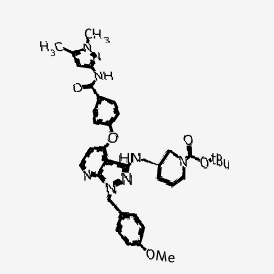 COc1ccc(Cn2nc(N[C@@H]3CCCN(C(=O)OC(C)(C)C)C3)c3c(Oc4ccc(C(=O)Nc5cc(C)n(C)n5)cc4)ccnc32)cc1